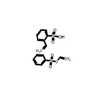 C=COS(=O)(=O)c1ccccc1.C=Cc1ccccc1S(=O)(=O)O